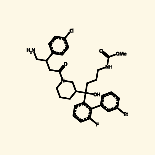 CCc1cccc(-c2c(F)cccc2C(O)(CCCNC(=O)OC)C2CCCN(C(=O)CC(CN)c3ccc(Cl)cc3)C2)c1